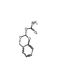 NC(=O)OC1OCc2ccccc2O1